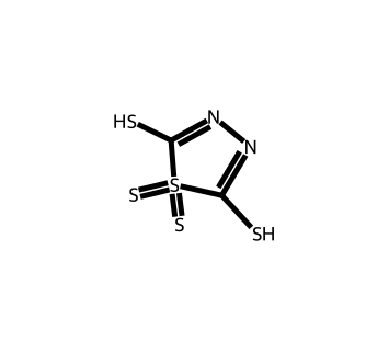 S=S1(=S)C(S)=NN=C1S